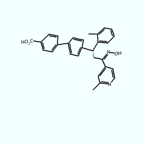 Cc1cc(/C(C[C@H](c2ccc(-c3ccc(C(=O)O)cc3)cc2)c2ccccc2C)=N\O)ccn1